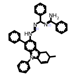 CC1C=Cc2c(c3cc(N/C=N/C(/N=C(\N)c4ccccc4)c4ccccc4)c(-c4ccccc4)cc3n2-c2ccccc2)C1